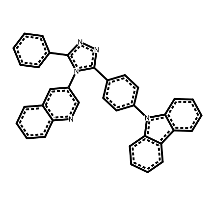 c1ccc(-c2nnc(-c3ccc(-n4c5ccccc5c5ccccc54)cc3)n2-c2cnc3ccccc3c2)cc1